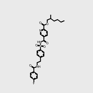 CCCCC(C)COC(=O)c1ccc(C(=O)NS(=O)(=O)c2ccc(CCNC(=O)c3ccc(F)cc3)cc2)cn1